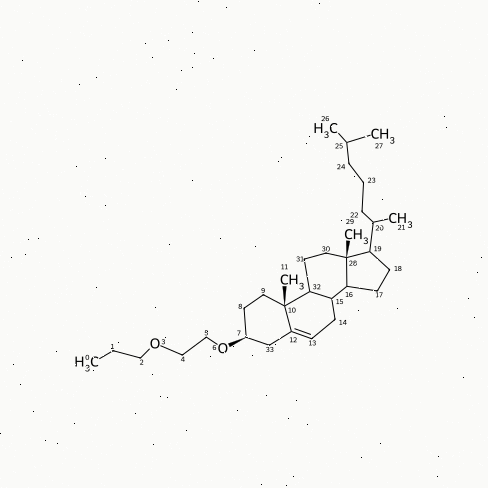 CCCOCCO[C@H]1CC[C@@]2(C)C(=CCC3C4CCC(C(C)CCCC(C)C)[C@@]4(C)CCC32)C1